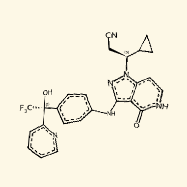 N#CC[C@@H](C1CC1)n1nc(Nc2ccc([C@](O)(c3ccccn3)C(F)(F)F)cc2)c2c(=O)[nH]ccc21